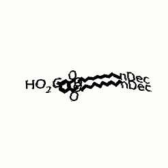 CCCCCCCCCCCCCCCCCCCCOC(=O)c1ccc(C(=O)O)cc1C(=O)OCCCCCCCCCCCCCCCCCCCC